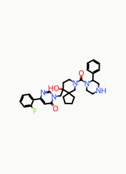 O=C(N1CCC(O)(Cn2cnc(-c3ccccc3F)cc2=O)C2(CCCC2)C1)N1CCNCC1c1ccccc1